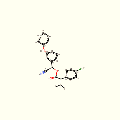 CC(C)[C@H](C(=O)O[C@@H](C#N)c1cccc(Oc2ccccc2)c1)c1ccc(Cl)cc1